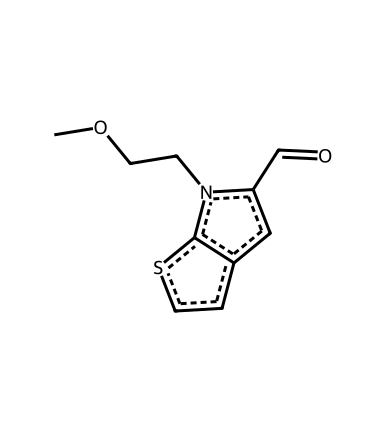 COCCn1c(C=O)cc2ccsc21